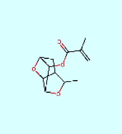 C=C(C)C(=O)OC1C2CC3C(C)OC1C3O2